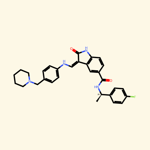 C[C@@H](NC(=O)c1ccc2c(c1)C(=CNc1ccc(CN3CCCCC3)cc1)C(=O)N2)c1ccc(F)cc1